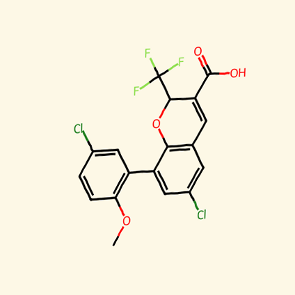 COc1ccc(Cl)cc1-c1cc(Cl)cc2c1OC(C(F)(F)F)C(C(=O)O)=C2